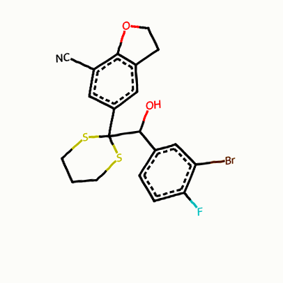 N#Cc1cc(C2(C(O)c3ccc(F)c(Br)c3)SCCCS2)cc2c1OCC2